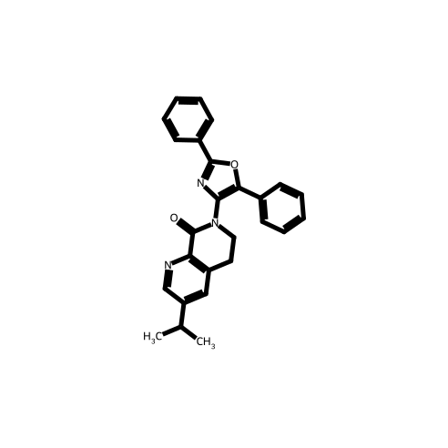 CC(C)c1cnc2c(c1)CCN(c1nc(-c3ccccc3)oc1-c1ccccc1)C2=O